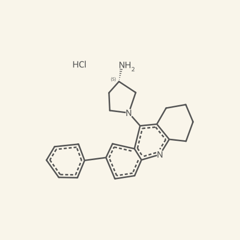 Cl.N[C@H]1CCN(c2c3c(nc4ccc(-c5ccccc5)cc24)CCCC3)C1